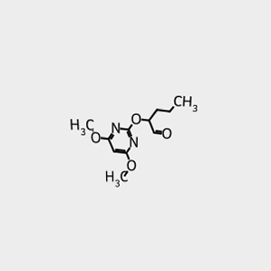 CCCC(C=O)Oc1nc(OC)cc(OC)n1